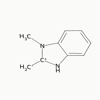 [CH2-][c+]1[nH]c2ccccc2n1C